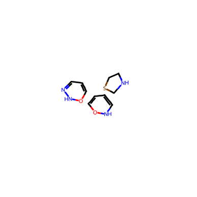 C1=CNOC=C1.C1=CONN=C1.C1CSCN1